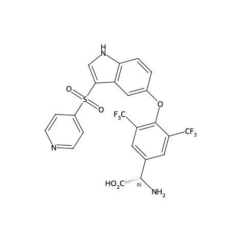 N[C@H](C(=O)O)c1cc(C(F)(F)F)c(Oc2ccc3[nH]cc(S(=O)(=O)c4ccncc4)c3c2)c(C(F)(F)F)c1